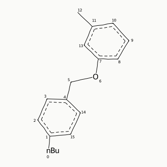 CCCCc1ccc(COc2cccc(C)c2)cc1